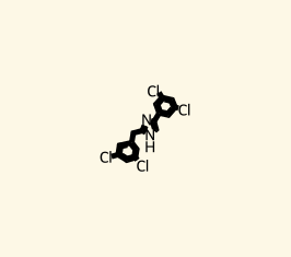 Clc1cc(Cl)cc(Cc2nc(-c3cc(Cl)cc(Cl)c3)c[nH]2)c1